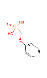 O=P(O)(O)COc1ccccc1